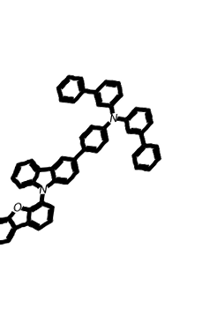 c1ccc(-c2cccc(N(c3ccc(-c4ccc5c(c4)c4ccccc4n5-c4cccc5c4oc4ccccc45)cc3)c3cccc(-c4ccccc4)c3)c2)cc1